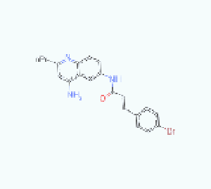 CCCc1cc(N)c2cc(NC(=O)C=Cc3ccc(Br)cc3)ccc2n1